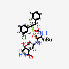 CCCC[C@H](NC(=O)O[C@@H](c1ccccc1)C(F)(F)c1cccc(Cl)c1)C(=O)N[C@H](CO)C[C@@H]1CCNC1=O